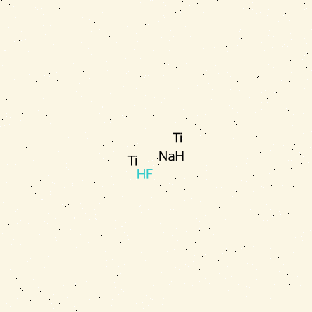 F.[NaH].[Ti].[Ti]